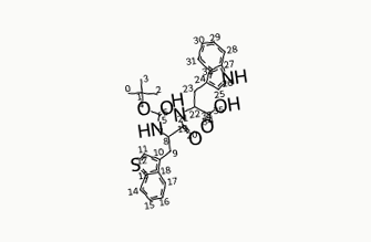 CC(C)(C)OC(=O)NC(Cc1csc2ccccc12)C(=O)NC(Cc1c[nH]c2ccccc12)C(=O)O